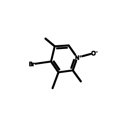 Cc1c[n+]([O-])c(C)c(C)c1Br